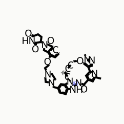 Cc1cc2cc(n1)-c1cnn(C)c1OCCC[C@@H](C)CN1/C(=N/C2=O)Nc2ccc(CN3CCN(CCOc4cccc5c4CN(C4CCC(=O)NC4=O)C5=O)CC3)cc21